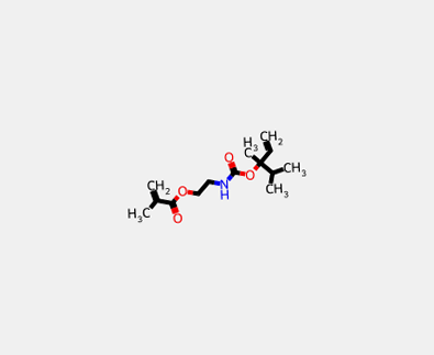 C=CC(C)(OC(=O)NCCOC(=O)C(=C)C)C(C)C